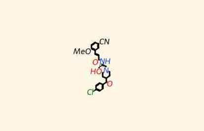 COc1ccc(C#N)cc1C=CC(=O)N[C@H](CO)CN1CCC(C(=O)c2ccc(Cl)cc2)CC1